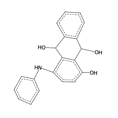 Oc1[c]cc(Nc2ccccc2)c2c1C(O)c1ccccc1C2O